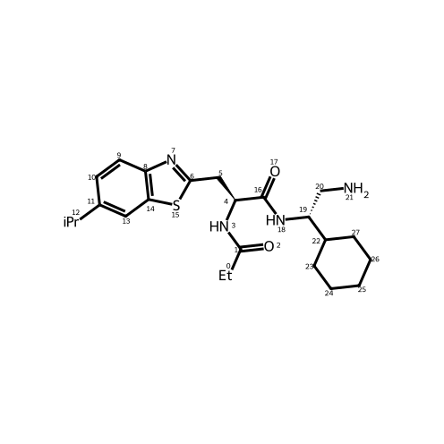 CCC(=O)N[C@@H](Cc1nc2ccc(C(C)C)cc2s1)C(=O)N[C@H](CN)C1CCCCC1